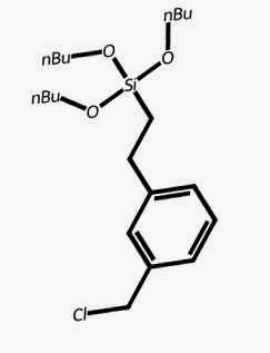 CCCCO[Si](CCc1cccc(CCl)c1)(OCCCC)OCCCC